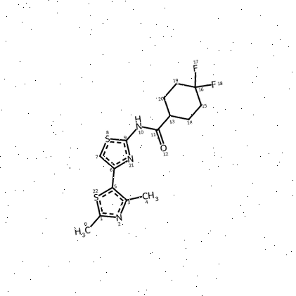 Cc1nc(C)c(-c2csc(NC(=O)C3CCC(F)(F)CC3)n2)s1